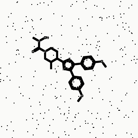 COc1ccc(-c2nc(C3CCN(C(=O)N(C)O)CC3C)sc2-c2ccc(OC)cc2)cc1